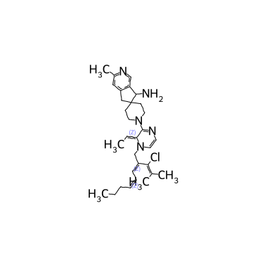 C/C=C1/C(N2CCC3(CC2)Cc2cc(C)ncc2C3N)=NC=CN1C/C(=C/C=C\CCC)C(Cl)=C(C)C